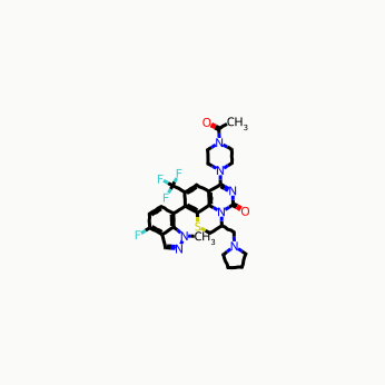 CC(=O)N1CCN(c2nc(=O)n3c4c(c(-c5ccc(F)c6cnn(C)c56)c(C(F)(F)F)cc24)SCC3CN2CCCC2)CC1